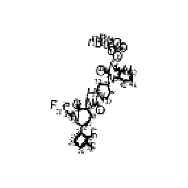 CCCCOP(=O)(OCCCC)OCn1c(=O)n(C2CCN(C(=O)N[C@@H]3CC[C@@H](c4cccc(F)c4F)CN(CC(F)(F)F)C3=O)CC2)c2cccnc21